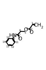 C=CC(=O)OCCC(=O)Nc1ccccc1